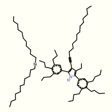 CCCCCCCCCCCCC#CC1=C(c2cc(CCC)c(CCC)c(CCC)c2)[N+](=[N-])C(c2cc(CCCC)c(CCCC)c(CCCC)c2)=C1CC.CCCCCCCCCC[CH2][Ni][CH2]CCCCCCCCCC